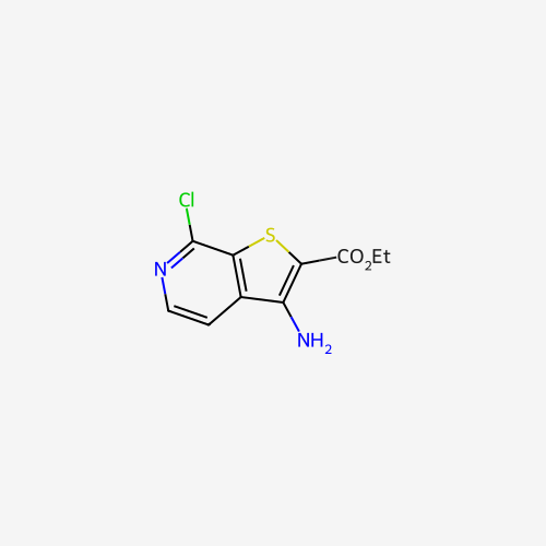 CCOC(=O)c1sc2c(Cl)nccc2c1N